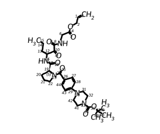 C=CCOC(=O)CNC(=O)C(=O)C(CCC)NC(=O)[C@@H]1CCCN1C(=O)c1ccc(N2CCN(C(=O)OC(C)(C)C)CC2)cc1